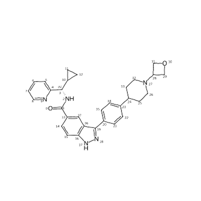 O=C(N[C@H](c1ccccn1)C1CC1)c1ccc2[nH]nc(-c3ccc(C4CCN(C5COC5)CC4)cc3)c2c1